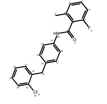 Cc1cccc(F)c1C(=O)Nc1ccc(Cc2ccccc2C(F)(F)F)cc1